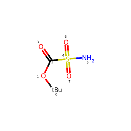 CC(C)(C)OC(=O)S(N)(=O)=O